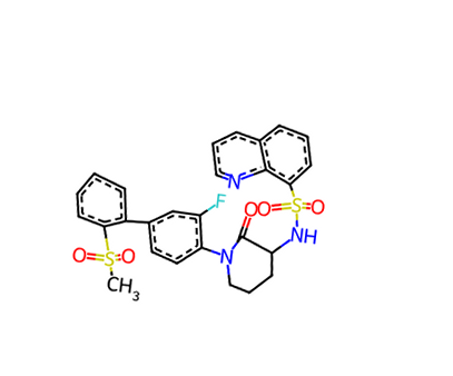 CS(=O)(=O)c1ccccc1-c1ccc(N2CCCC(NS(=O)(=O)c3cccc4cccnc34)C2=O)c(F)c1